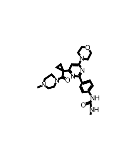 CNC(=O)Nc1ccc(-c2nc(N3CCOCC3)cc(C3(C(=O)N4CCN(C)CC4)CC3)n2)cc1